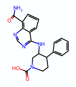 NC(=O)c1cccc2c(NC3CN(C(=O)O)CCC3c3ccccc3)ncnc12